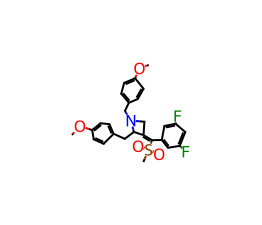 COc1ccc(CC2C(=C(c3cc(F)cc(F)c3)S(C)(=O)=O)CN2Cc2ccc(OC)cc2)cc1